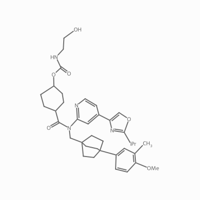 COc1ccc(C23CCC(CN(C(=O)C4CCC(OC(=O)NCCO)CC4)c4cc(-c5coc(C(C)C)n5)ccn4)(CC2)CC3)cc1C